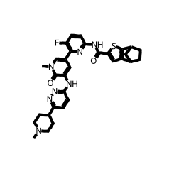 CN1CCC(c2ccc(Nc3cc(-c4nc(NC(=O)c5cc6c(s5)C5CCC6C5)ccc4F)cn(C)c3=O)nn2)CC1